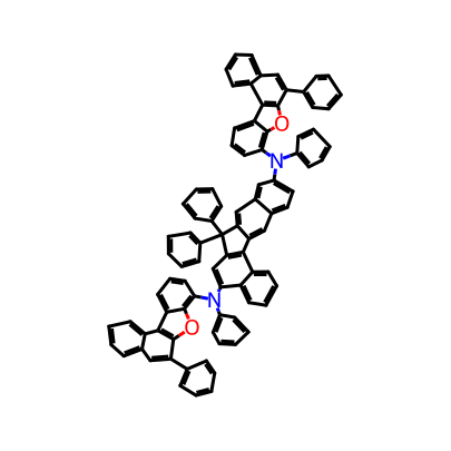 c1ccc(-c2cc3ccccc3c3c2oc2c(N(c4ccccc4)c4ccc5cc6c(cc5c4)C(c4ccccc4)(c4ccccc4)c4cc(N(c5ccccc5)c5cccc7c5oc5c(-c8ccccc8)cc8ccccc8c57)c5ccccc5c4-6)cccc23)cc1